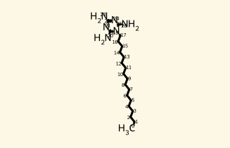 CCCCCCCCCCCCCCCCCCN1C(N)=NC(N)=NC1N